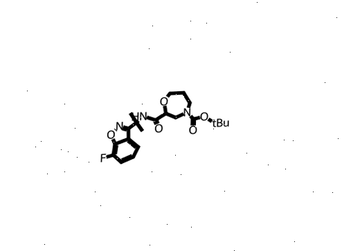 CC(C)(C)OC(=O)N1CCCOC(C(=O)NC(C)(C)c2noc3c(F)cccc23)C1